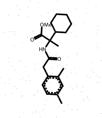 COC(=O)C(C)(NC(=O)Cc1ccc(C)cc1C)C1CCCCC1